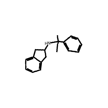 CC(C)(NC1Cc2ccccc2C1)c1ccccc1